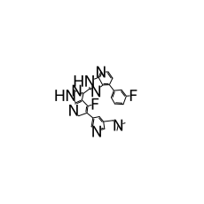 CN(C)Cc1cncc(-c2cnc3[nH]nc(-c4nc5c(-c6cccc(F)c6)ccnc5[nH]4)c3c2F)c1